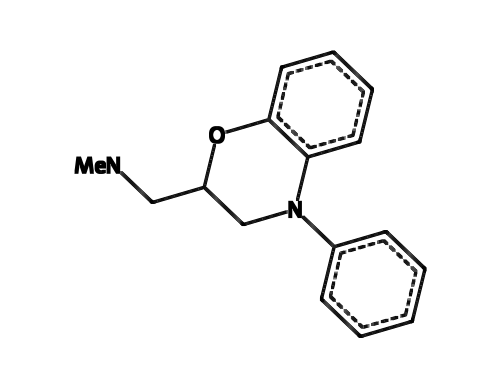 CNCC1CN(c2ccccc2)c2ccccc2O1